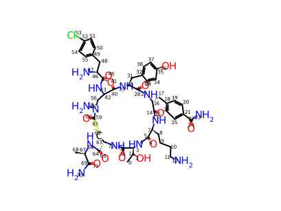 CC(O)[C@@H]1NC(=O)[C@H](CCCCN)NC(=O)[C@@H](Cc2ccc(C(N)=O)cc2)NC(=O)[C@H](Cc2ccc(O)cc2)NC(=O)[C@H](NC(=O)[C@@H](N)Cc2ccc(Cl)cc2)CN(N)C(=O)SC[C@@H](C(=O)N[C@H](C)C(N)=O)NC1=O